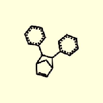 C1=CC2CC1[C](c1ccccc1)C2c1ccccc1